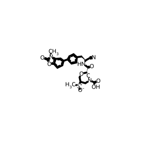 Cn1c(=O)oc2ccc(-c3ccc(C[C@@H](C#N)NC(=O)[C@@H]4CN(C(=O)O)CC([S+](C)[O-])CO4)cc3)cc21